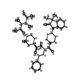 CC1(C)C(=O)N(C2CCN(C(=O)C(CCc3ccccc3)NC(=O)[C@@H]3CCCNC3)CC2)c2ccccc21.O=C(O)C(O)C(O)C(=O)O